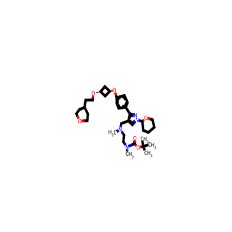 CN(CCN(C)C(=O)OC(C)(C)C)Cc1cn(C2CCCCO2)nc1-c1ccc(O[C@H]2C[C@H](OCCC3CCOCC3)C2)cc1